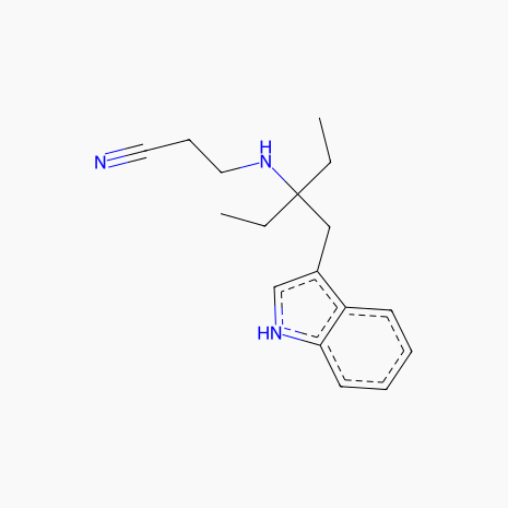 CCC(CC)(Cc1c[nH]c2ccccc12)NCCC#N